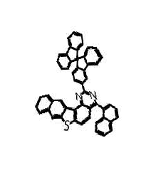 c1ccc2c(c1)-c1ccccc1C21c2ccccc2-c2cc(-c3nc(-c4cccc5ccccc45)c4ccc5sc6cc7ccccc7cc6c5c4n3)ccc21